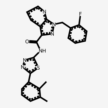 Cc1cccc(-c2nnc(NC(=O)c3nn(Cc4ccccc4F)c4ncccc34)s2)c1C